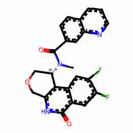 CN(C(=O)c1ccc2cccnc2c1)[C@H]1COCc2[nH]c(=O)c3cc(F)c(F)cc3c21